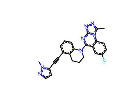 Cc1nnc2nc(N3CCCc4c(C#Cc5ccnn5C)cccc43)c3cc(F)ccc3n12